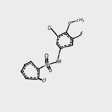 COc1c(F)cc(NS(=O)(=O)c2ccccc2Cl)cc1Cl